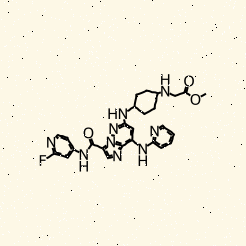 COC(=O)CNC1CCC(Nc2cc(Nc3ccccn3)c3ncc(C(=O)Nc4ccnc(F)c4)n3n2)CC1